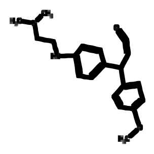 COc1ccc(C(C=C=O)c2ccc(NCCN(C)C)cc2)cc1